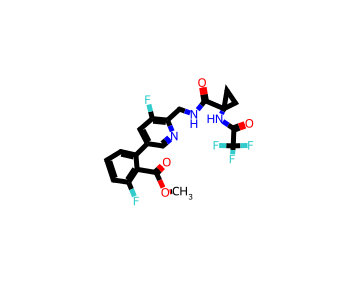 COC(=O)c1c(F)cccc1-c1cnc(CNC(=O)C2(NC(=O)C(F)(F)F)CC2)c(F)c1